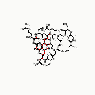 CSCC[C@H](N)C(=O)N[C@@H](C)C(=O)N[C@@H](CO)C(=O)N[C@@H](CCCNC(=N)N)C(=O)N[C@@H](C)C(=O)N[C@@H](C)C(=O)NCC(=O)N[C@@H](CC(C)C)C(=O)N[C@@H](C)C(=O)N[C@@H](C)C(=O)N[C@@H](CCCNC(=N)N)C(=O)N[C@@H](CC(C)C)C(=O)N[C@@H](C)C(=O)N[C@@H](CCCNC(=N)N)C(=O)N[C@@H](CC(C)C)C(=O)N[C@@H](C)C(=O)N[C@@H](CC(C)C)C(=O)N[C@@H](CCCNC(=N)N)C(=O)N[C@@H](C)C(=O)N[C@@H](CC(C)C)C(=O)O